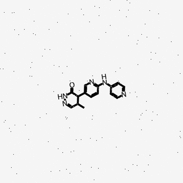 CC1C=NNC(=O)C1c1ccc(Nc2ccncc2)nc1